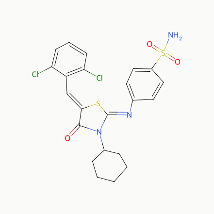 NS(=O)(=O)c1ccc(/N=C2\SC(=Cc3c(Cl)cccc3Cl)C(=O)N2C2CCCCC2)cc1